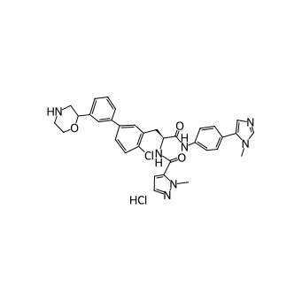 Cl.Cn1cncc1-c1ccc(NC(=O)[C@H](Cc2cc(-c3cccc(C4CNCCO4)c3)ccc2Cl)NC(=O)c2ccnn2C)cc1